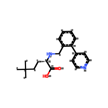 CC(C)(C)CC[C@H](NCc1ccccc1-c1ccncc1)C(=O)O